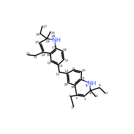 CCC1=CC(C)(CC)Nc2ccc(Cc3ccc4c(c3)C(CC)=CC(C)(CC)N4)cc21